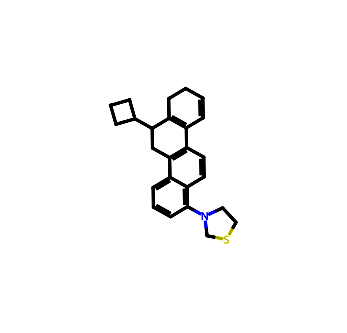 C1=CC2=C(CC1)C(C1CCC1)Cc1c2ccc2c(N3CCSC3)cccc12